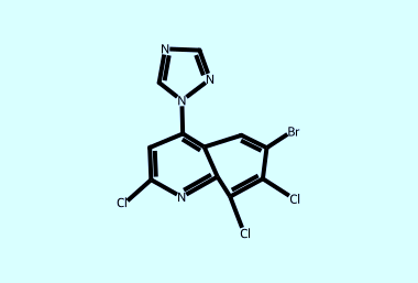 Clc1cc(-n2cncn2)c2cc(Br)c(Cl)c(Cl)c2n1